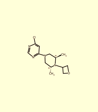 C[C@@H]1CN(c2cc(Cl)ncn2)C[C@@H](C)N1C1COC1